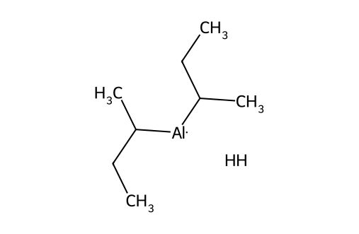 CC[CH](C)[Al][CH](C)CC.[HH]